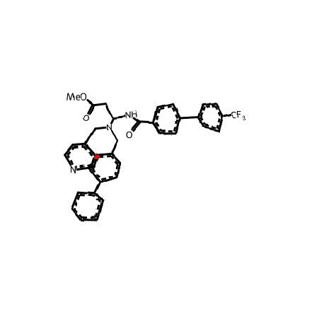 COC(=O)CC(NC(=O)c1ccc(-c2ccc(C(F)(F)F)cc2)cc1)N(Cc1ccncc1)Cc1ccc(-c2ccccc2)cc1